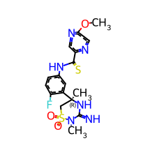 COc1cnc(C(=S)Nc2ccc(F)c([C@]3(C)CS(=O)(=O)N(C)C(=N)N3)c2)cn1